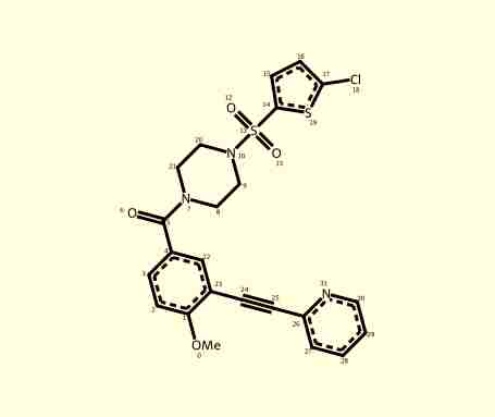 COc1ccc(C(=O)N2CCN(S(=O)(=O)c3ccc(Cl)s3)CC2)cc1C#Cc1ccccn1